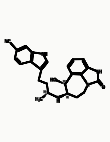 C[C@H](CCc1c[nH]c2cc(C#N)ccc12)N[C@@H]1CCn2c(=O)[nH]c3cccc(c32)[C@H]1O